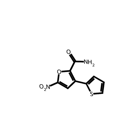 NC(=O)c1oc([N+](=O)[O-])cc1-c1cccs1